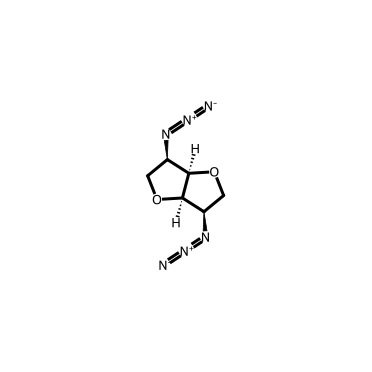 [N-]=[N+]=N[C@@H]1CO[C@H]2[C@@H]1OC[C@H]2N=[N+]=[N-]